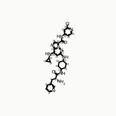 N[C@H](Cc1cccnc1)C(=O)NC1CCC(Nc2cc(NC3CC3)c3ncc(C(=O)Nc4ccnc(Cl)c4)n3n2)CC1